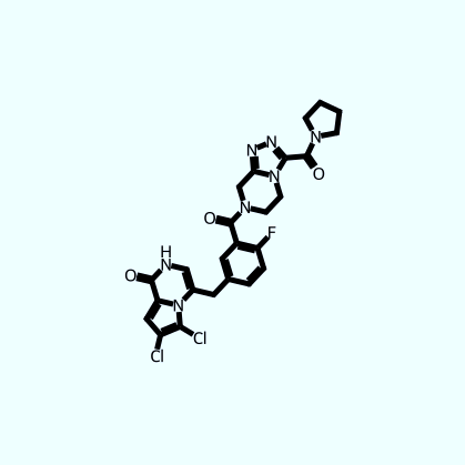 O=C(c1cc(Cc2c[nH]c(=O)c3cc(Cl)c(Cl)n23)ccc1F)N1CCn2c(nnc2C(=O)N2CCCC2)C1